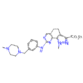 CCOC(=O)c1nn(C)c2c1CCc1cnc(Nc3cccc(CN4CCN(C)CC4)c3)nc1-2